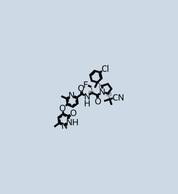 Cc1cc(Oc2ccc(C(=O)N[C@H](CF)C(=O)N3[C@H](C4(C)C=C(Cl)C=CC4)CC[C@@H]3C(C)(C)C#N)nc2C)c(=O)[nH]n1